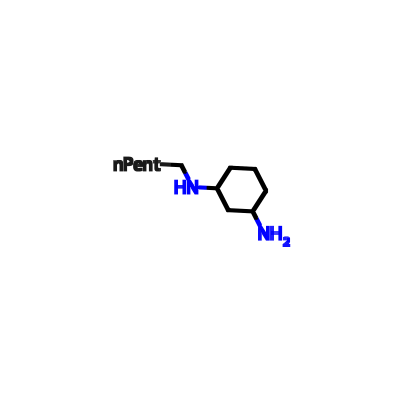 CCCCCCNC1CCCC(N)C1